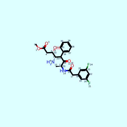 COC(=O)C[C@H](O)[C@@H](N)C(C(=O)[C@H](C)NC(=O)Cc1cc(F)cc(F)c1)c1ccccc1